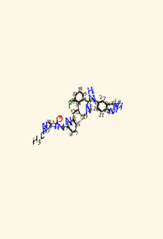 Cn1cc(C(=O)Nc2cccc(CC3CCN=C(Nc4ccc5[nH]ncc5c4)c4cccc(F)c43)n2)cn1